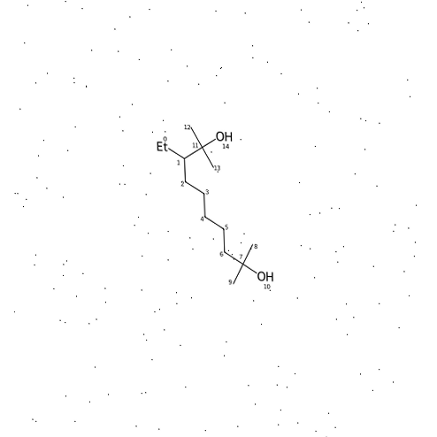 CCC(CCCCCC(C)(C)O)C(C)(C)O